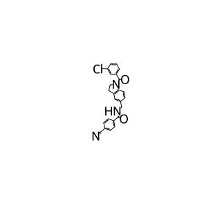 N#Cc1ccc(C(=O)NCc2ccc3c(c2)CCN3C(=O)c2cccc(Cl)c2)cc1